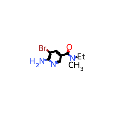 CCN(C)C(=O)c1cnc(N)c(Br)c1